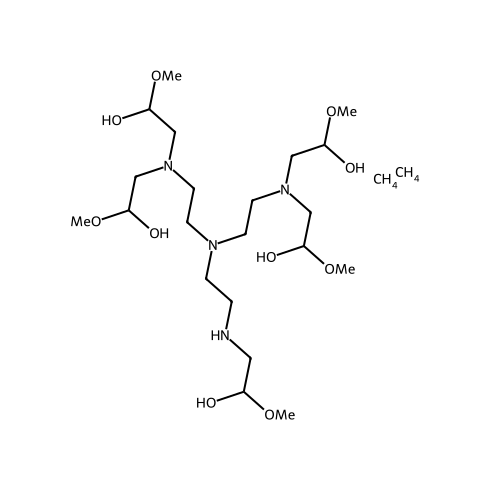 C.C.COC(O)CNCCN(CCN(CC(O)OC)CC(O)OC)CCN(CC(O)OC)CC(O)OC